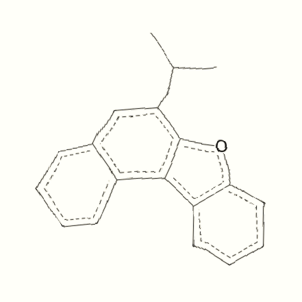 CC(C)c1cc2ccccc2c2c1oc1ccccc12